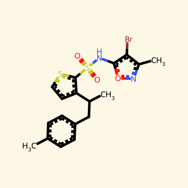 Cc1ccc(CC(C)c2ccsc2S(=O)(=O)Nc2onc(C)c2Br)cc1